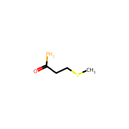 CSCCC(=O)P